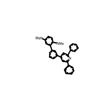 CNc1ccc(NC)c(-c2cccc(-c3cc(-c4ccccc4)nc(-c4ccccc4)c3)c2)c1